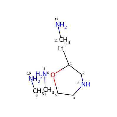 CCC1CNCCO1.CN.CN.CN